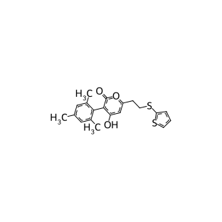 Cc1cc(C)c(-c2c(O)cc(CCSc3cccs3)oc2=O)c(C)c1